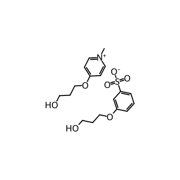 C[n+]1ccc(OCCCO)cc1.O=S(=O)([O-])c1cccc(OCCCO)c1